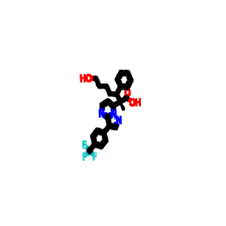 C[C@@](C(=O)O)(c1ccnc2c(-c3ccc(C(F)(F)F)cc3)cnn12)C(CCCCO)c1ccccc1